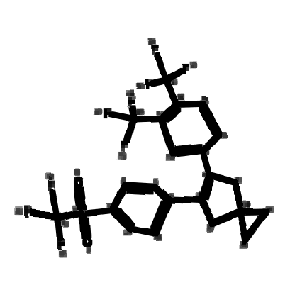 O=S(=O)(c1ccc(C2=C(c3ccc(C(F)(F)F)c(C(F)(F)F)c3)CC3(CC3)C2)cc1)C(F)(F)F